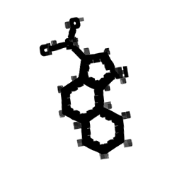 [O-][S+](Cl)c1c[nH]c2c1ccc1ccccc12